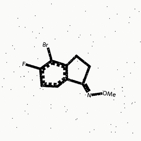 CON=C1CCc2c1ccc(F)c2Br